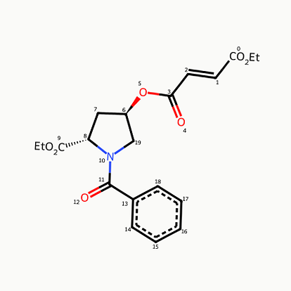 CCOC(=O)/C=C/C(=O)O[C@@H]1C[C@@H](C(=O)OCC)N(C(=O)c2ccccc2)C1